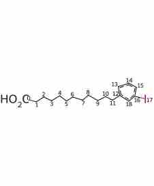 O=C(O)CCCCCCCCCCCc1cccc(I)c1